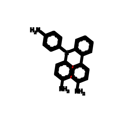 Nc1ccc(-c2ccccc2N(c2ccc(N)cc2)c2ccc(N)cc2)cc1